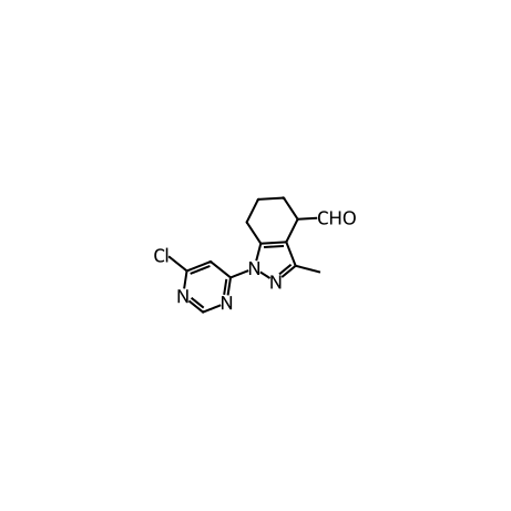 Cc1nn(-c2cc(Cl)ncn2)c2c1C(C=O)CCC2